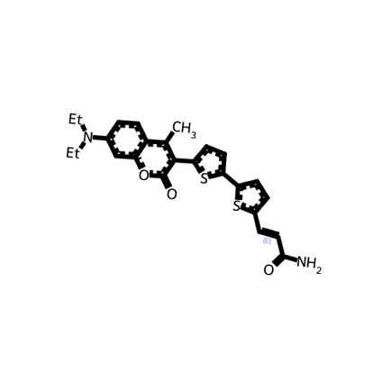 CCN(CC)c1ccc2c(C)c(-c3ccc(-c4ccc(/C=C/C(N)=O)s4)s3)c(=O)oc2c1